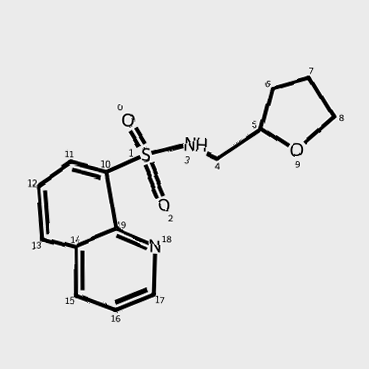 O=S(=O)(NCC1CCCO1)c1cccc2cccnc12